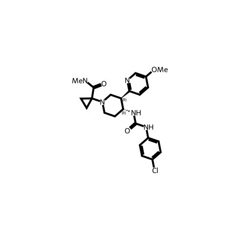 CNC(=O)C1(N2CC[C@@H](NC(=O)Nc3ccc(Cl)cc3)[C@H](c3ccc(OC)cn3)C2)CC1